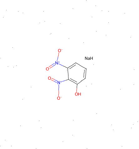 O=[N+]([O-])c1cccc(O)c1[N+](=O)[O-].[NaH]